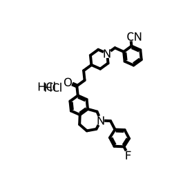 Cl.Cl.N#Cc1ccccc1CN1CCC(CCC(=O)c2ccc3c(c2)CN(Cc2ccc(F)cc2)CCC3)CC1